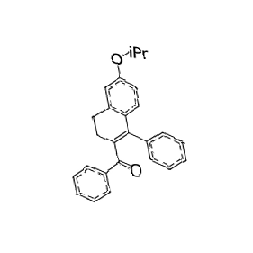 CC(C)Oc1ccc2c(c1)CCC(C(=O)c1ccccc1)=C2c1ccccc1